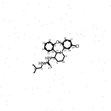 CC(C)CNC(=S)NC1CCCN2c3cc(Cl)ccc3Oc3ccccc3C12